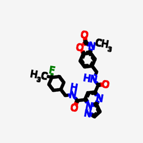 Cn1c(=O)oc2ccc(CNC(=O)c3cc(C(=O)NCC4CCC(C)(F)CC4)n4nccc4n3)cc21